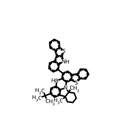 CC(C)(C)c1cc2c3c(c1)C1(C)CCCCC1(C)N3c1c(c(-c3cccc4c3[nH]c3sc5ccccc5c34)cc3c1sc1ccccc13)B2